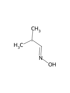 C[C](C)C=NO